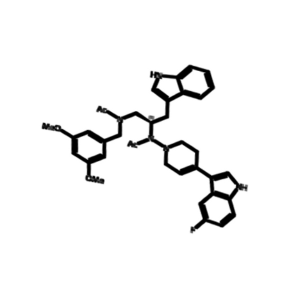 COc1cc(CN(C[C@@H](Cc2c[nH]c3ccccc23)N(C(C)=O)N2CC=C(c3c[nH]c4ccc(F)cc34)CC2)C(C)=O)cc(OC)c1